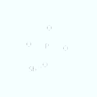 O=P([O-])([O-])[O-].[Sb+3]